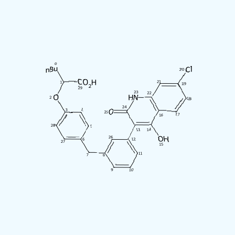 CCCCC(Oc1ccc(Cc2cccc(-c3c(O)c4ccc(Cl)cc4[nH]c3=O)c2)cc1)C(=O)O